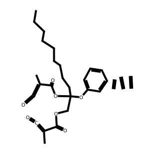 C=C.C=C.C=C.CCCCCCCCCC(COC(=O)C(C)=C=O)(OC(=O)C(C)=C=O)Oc1ccccc1